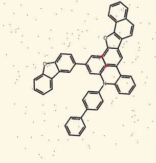 c1ccc(-c2ccc(N(c3cccc(-c4ccc5oc6ccccc6c5c4)c3)c3ccccc3-c3ccc4oc5c6ccccc6ccc5c4c3)cc2)cc1